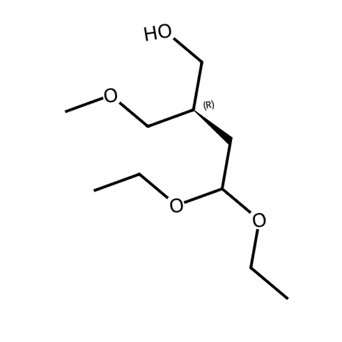 CCOC(C[C@H](CO)COC)OCC